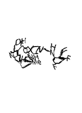 COc1ccc2ncc(CO)c([C@H](F)CCC3(C(=O)NO)CCN(CCNc4cc(F)cc(F)c4F)CC3)c2c1